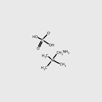 C[N+](C)(C)C.N.O=P([O-])(O)O